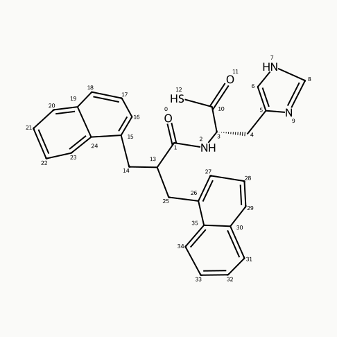 O=C(N[C@@H](Cc1c[nH]cn1)C(=O)S)C(Cc1cccc2ccccc12)Cc1cccc2ccccc12